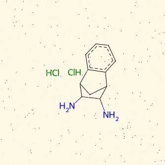 Cl.Cl.NC1C2CC(c3ccccc32)C1N